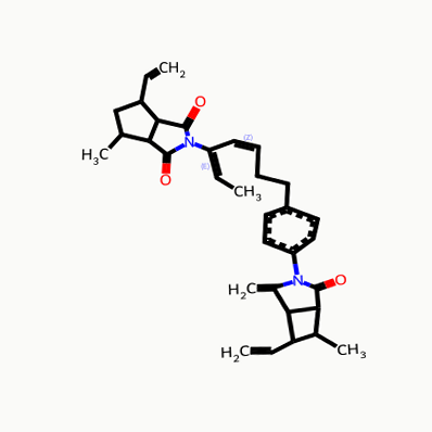 C=CC1CC(C)C2C(=O)N(C(/C=C\CCc3ccc(N4C(=C)C5C(C=C)C(C)C5C4=O)cc3)=C/C)C(=O)C12